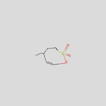 CC1C=COS(=O)(=O)CC1